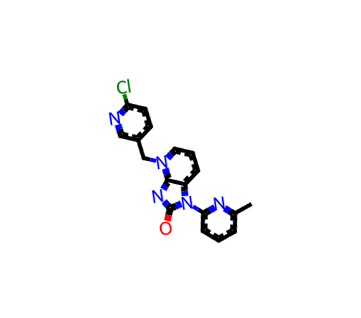 Cc1cccc(-n2c3cccn(Cc4ccc(Cl)nc4)c-3nc2=O)n1